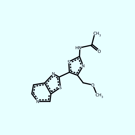 COCc1nc(NC(C)=O)sc1-c1nc2ccncc2s1